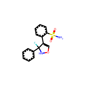 NS(=O)(=O)c1ccccc1C1=CONC1(F)c1ccccc1